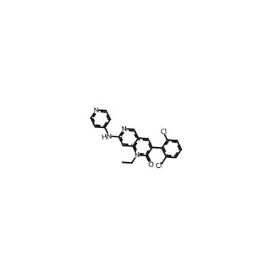 CCn1c(=O)c(-c2c(Cl)cccc2Cl)cc2cnc(Nc3ccncc3)cc21